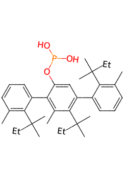 CCC(C)(C)c1c(C)cccc1-c1cc(OP(O)O)c(-c2cccc(C)c2C(C)(C)CC)c(C)c1C(C)(C)CC